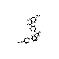 CO[C@H]1CC[C@H](c2cnc3[nH]c(=O)n(C4CCN(C(=O)c5ccc(OC(F)(F)F)cc5N)CC4)c3c2)CC1